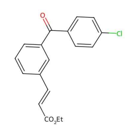 CCOC(=O)C=Cc1cccc(C(=O)c2ccc(Cl)cc2)c1